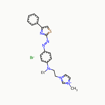 CCN(CCn1cc[n+](C)c1)c1ccc(N=Nc2nc(-c3ccccc3)cs2)cc1.[Br-]